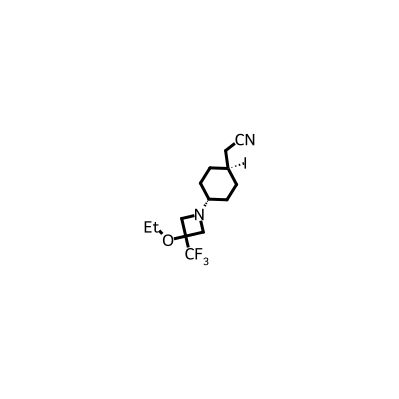 CCOC1(C(F)(F)F)CN([C@H]2CC[C@](I)(CC#N)CC2)C1